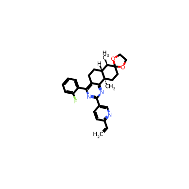 C=Cc1ccc(-c2nc(-c3ccccc3F)c3c(n2)[C@]2(C)CCC4(OCCO4)[C@H](C)[C@H]2CC3)cn1